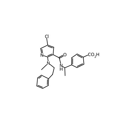 CC(NC(=O)c1cc(Cl)cnc1N(C)CCc1ccccc1)c1ccc(C(=O)O)cc1